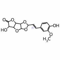 COc1cc(/C=C/C2OC3OC4C(O)C(=O)OC4C3O2)ccc1O